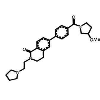 COC1CCN(C(=O)c2ccc(-c3ccc4c(c3)CCN(CCN3CCCC3)C4=O)cc2)C1